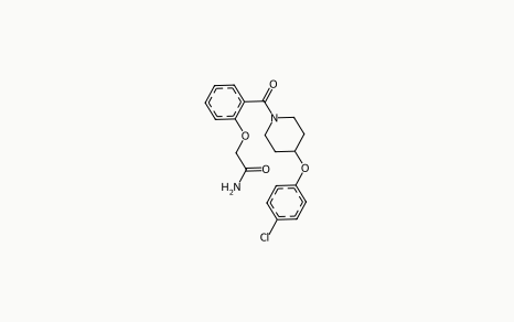 NC(=O)COc1ccccc1C(=O)N1CCC(Oc2ccc(Cl)cc2)CC1